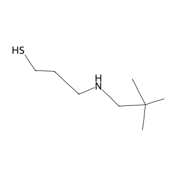 CC(C)(C)CNCCCS